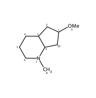 COC1CC2CCCN(C)C2C1